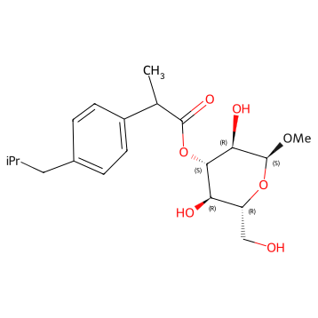 CO[C@H]1O[C@H](CO)[C@@H](O)[C@H](OC(=O)C(C)c2ccc(CC(C)C)cc2)[C@H]1O